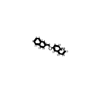 c1ccc2cc(COc3ccc4ncccc4c3)ccc2c1